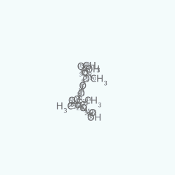 CCCc1c(OCCOCCOCCOc2c(C(C)=O)ccc(OCCCC(=O)O)c2CCC)ccc(C(C)=O)c1O